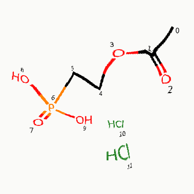 CC(=O)OCCP(=O)(O)O.Cl.Cl